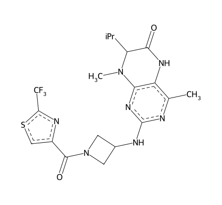 Cc1nc(NC2CN(C(=O)c3csc(C(F)(F)F)n3)C2)nc2c1NC(=O)C(C(C)C)N2C